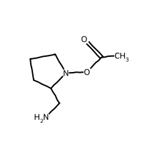 CC(=O)ON1CCCC1CN